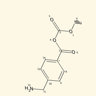 CC(C)(C)OC(=O)OC(=O)c1ccc(CN)cc1